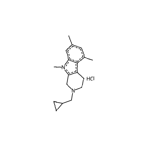 Cc1cc(C)c2c3c(n(C)c2c1)CN(CC1CC1)CC3.Cl